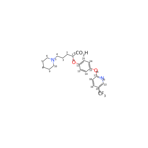 O=C(O)C(CCCN1CCCCC1)Oc1ccc(Oc2ccc(C(F)(F)F)cn2)cc1